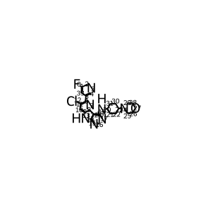 Fc1cncc(-c2nc3c(cc2Cl)[nH]c2ncnc(NC4CCC(N5CCOCC5)CC4)c23)c1